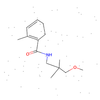 COCC(C)(C)CNC(=O)C1=C(C)C=CCC1